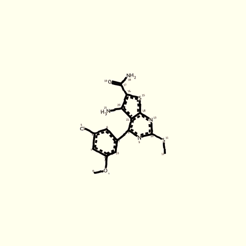 COc1cc(Cl)cc(-c2nc(SC)nc3sc(C(N)=O)c(N)c23)c1